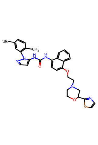 Cc1ccc(C(C)(C)C)cc1-n1nccc1NC(=O)Nc1ccc(OCCN2CCOC(c3nccs3)C2)c2ccccc12